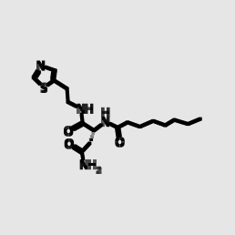 CCCCCCCC(=O)N[C@H](CC(N)=O)C(=O)NCCc1cncs1